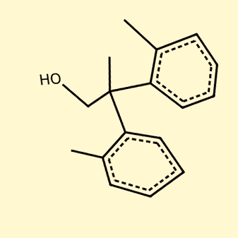 Cc1ccccc1C(C)(CO)c1ccccc1C